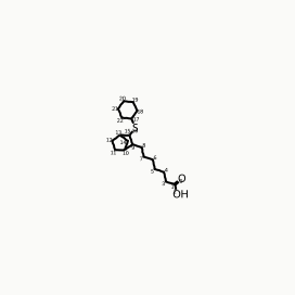 O=C(O)CCCCCCC1C2CCC(C2)C1SC1CCCCC1